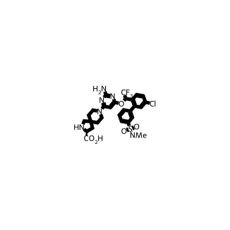 CNS(=O)(=O)c1cccc(-c2cc(Cl)ccc2C(Oc2cc(N3CCC4(CC3)CN[C@H](C(=O)O)C4)nc(N)n2)C(F)(F)F)c1